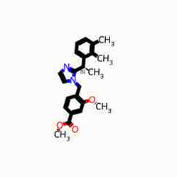 COC(=O)c1ccc(Cn2ccnc2[C@@H](C)c2cccc(C)c2C)c(OC)c1